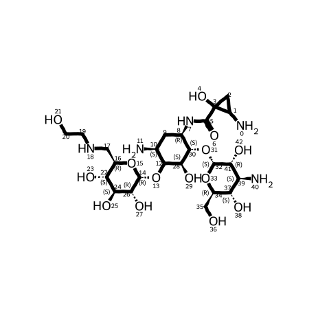 NC1CC1(O)C(=O)N[C@@H]1C[C@H](N)C(O[C@H]2O[C@H](CNCCO)[C@@H](O)[C@H](O)[C@H]2O)[C@H](O)[C@H]1O[C@H]1O[C@H](CO)[C@@H](O)[C@H](N)[C@H]1O